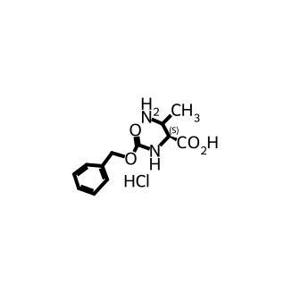 CC(N)[C@H](NC(=O)OCc1ccccc1)C(=O)O.Cl